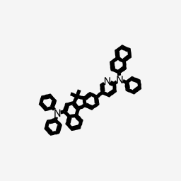 CC1(C)c2cc(-c3ccc(N(c4ccccc4)c4ccc5ccccc5c4)nc3)ccc2-c2c1cc(N(c1ccccc1)c1ccccc1)c1ccccc21